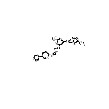 Cc1nc(NCc2nnc(C)s2)cc(OC[C@H]2C[C@@H]2c2ccc(-c3ccnnc3)cn2)n1